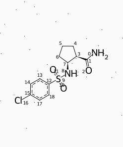 NC(=O)[C@@H]1CCC[C@@H]1NS(=O)(=O)c1ccc(Cl)cc1